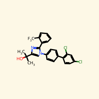 CC(C)(O)c1cn(-c2ccc(-c3ccc(Cl)cc3Cl)cc2)c(-c2ccccc2C(F)(F)F)n1